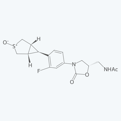 CC(=O)NC[C@H]1CN(c2ccc([C@H]3[C@@H]4C[S+]([O-])C[C@@H]43)c(F)c2)C(=O)O1